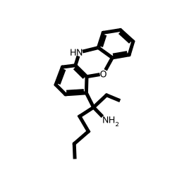 CCCCC(N)(CC)c1cccc2c1Oc1ccccc1N2